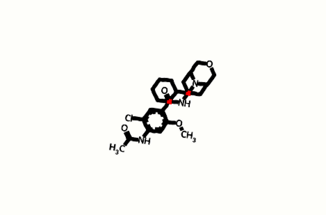 COc1cc(NC(C)=O)c(Cl)cc1C(=O)NC1CC2COCC(C1)N2CC1CCCCC1